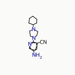 N#Cc1cc(N)cnc1N1CCN(C2CCCCC2)CC1